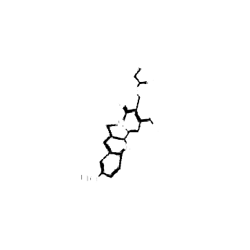 CCC(=O)OCc1c(CO)cc2n(c1=O)Cc1cc3cc(O)ccc3nc1-2